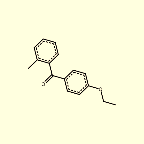 CCOc1ccc(C(=O)c2ccccc2C)cc1